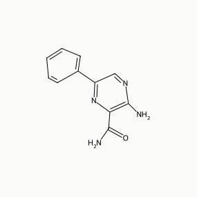 NC(=O)c1nc(-c2ccccc2)cnc1N